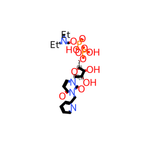 CCN(CC)COP(=O)(O)OP(=O)(O)OC[C@H]1O[C@@H](n2ccc(=O)n(Cc3ccccn3)c2=O)[C@@H](O)C1O